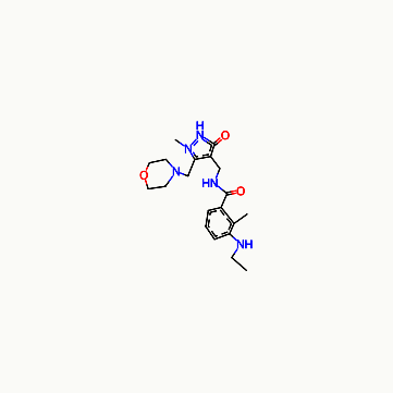 CCNc1cccc(C(=O)NCc2c(CN3CCOCC3)n(C)[nH]c2=O)c1C